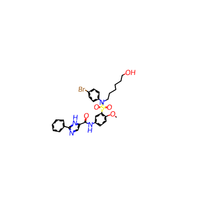 COc1ccc(NC(=O)c2cnc(-c3ccccc3)[nH]2)cc1S(=O)(=O)N(CCCCCCO)c1ccc(Br)cc1